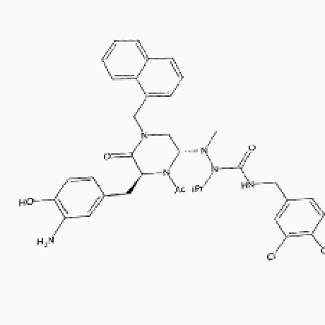 CC(=O)N1[C@@H](Cc2ccc(O)c(N)c2)C(=O)N(Cc2cccc3ccccc23)C[C@@H]1N(C)N(C(=O)NCc1ccc(Cl)c(Cl)c1)C(C)C